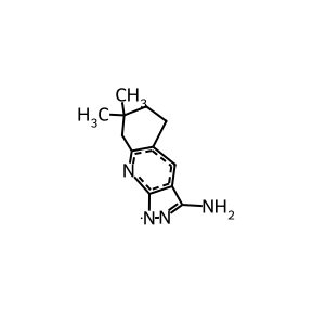 CC1(C)CCc2cc3c(nc2C1)[N]N=C3N